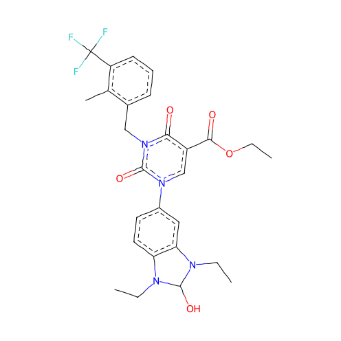 CCOC(=O)c1cn(-c2ccc3c(c2)N(CC)C(O)N3CC)c(=O)n(Cc2cccc(C(F)(F)F)c2C)c1=O